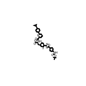 CC(C)(C)OC(=O)Nc1ccc(-c2nc(-c3ccc(CC(NC(=O)c4cccc(-c5ccc(C6CC6)cc5)n4)C(=O)O)cc3F)no2)cc1